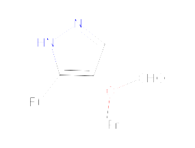 CC(C)OC=O.CCc1ccn[nH]1